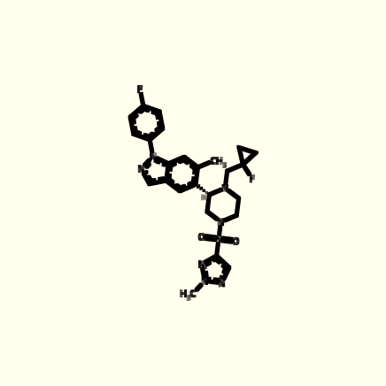 Cc1cc2c(cnn2-c2ccc(F)cc2)cc1[C@H]1CN(S(=O)(=O)c2cnn(C)n2)CCN1CC1(F)CC1